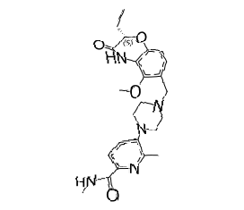 CC[C@@H]1Oc2ccc(CN3CCN(c4ccc(C(=O)NC)nc4C)CC3)c(OC)c2NC1=O